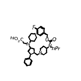 CCCN(C(=O)OCc1ccc(F)cc1)C1CCN(CC2CC(N(CC(=O)O)C3CCCCC3)CC2c2ccccc2)CC1